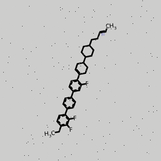 C/C=C/CCC1CCC(C2CC=C(c3ccc(-c4ccc(-c5ccc(CC)c(F)c5F)cc4)cc3F)CC2)CC1